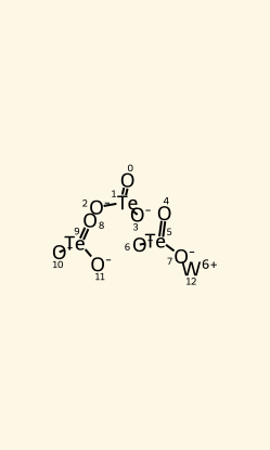 O=[Te]([O-])[O-].O=[Te]([O-])[O-].O=[Te]([O-])[O-].[W+6]